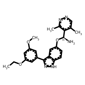 CCOc1cc(OC)cc(-c2n[nH]c3ccc(O[C@H](N)c4c(C)cnnc4C)cc23)c1